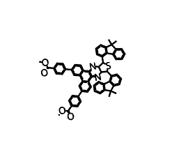 COC(=O)c1ccc(-c2ccc3c4c(c5ccc(-c6ccc(C(=O)OC)cc6)cc5c3c2)=NC2C(c3cccc5c3-c3ccccc3C5(C)C)SC(c3cccc5c3-c3ccccc3C5(C)C)C2N=4)cc1